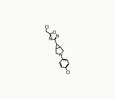 ClCc1nc(C2C3CN(c4ccc(Cl)cc4)CC32)no1